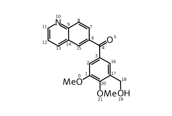 COc1cc(C(=O)c2ccc3ncccc3c2)cc(CO)c1OC